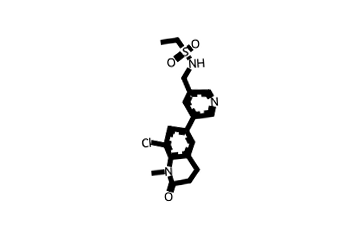 CCS(=O)(=O)NCc1cncc(-c2cc(Cl)c3c(c2)CCC(=O)N3C)c1